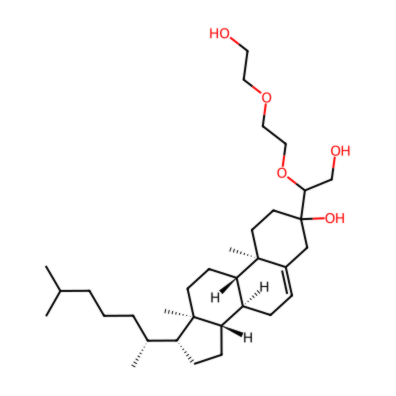 CC(C)CCC[C@@H](C)[C@H]1CC[C@H]2[C@@H]3CC=C4CC(O)(C(CO)OCCOCCO)CC[C@]4(C)[C@H]3CC[C@]12C